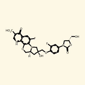 O=C(O)c1c[nH]c2c3c(c(F)cc2c1=O)N1C[C@](O)(COc2ccc(N4C[C@H](CO)OC4=O)cc2F)C[C@H]1CO3